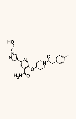 Cc1ccc(CC(=O)N2CCC(Oc3cnc(-c4cnn(CCO)c4)cc3C(N)=O)CC2)cc1